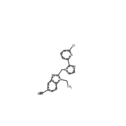 CCn1c(Cn2ccnc2-c2cccc(Cl)n2)nc2cc(C#N)ccc21